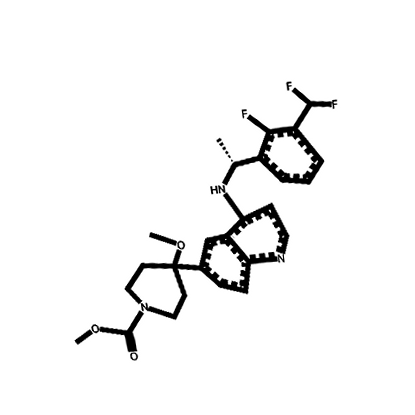 COC(=O)N1CCC(OC)(c2ccc3nccc(N[C@H](C)c4cccc(C(F)F)c4F)c3c2)CC1